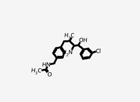 CC(=O)NCc1ccc(CC(C)C(N)C(O)c2cccc(Cl)c2)cc1